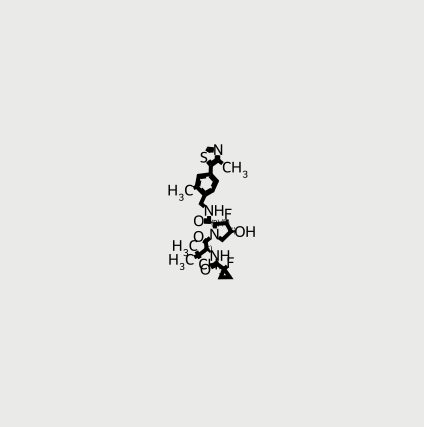 Cc1cc(-c2scnc2C)ccc1CNC(=O)[C@@H]1[C@@H](F)[C@@H](O)CN1C(=O)[C@@H](NC(=O)C1(F)CC1)C(C)(C)C